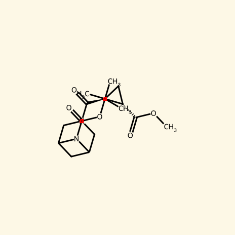 COC(=O)[C@H]1C[C@@H]1C(=O)N1CC2CC(C1)N2C(=O)OC(C)(C)C